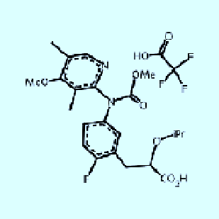 COC(=O)N(c1ccc(F)c(CC(OC(C)C)C(=O)O)c1)c1ncc(C)c(OC)c1C.O=C(O)C(F)(F)F